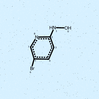 ONc1ccc(Br)cn1